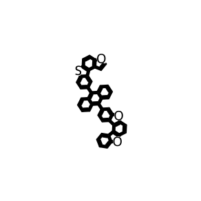 c1ccc2c(c1)oc1ccc3oc4cc(-c5c6ccccc6c(-c6ccc7sc8ccc9occc9c8c7c6)c6ccccc56)ccc4c3c12